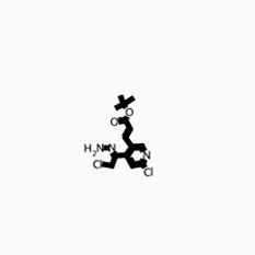 CC(C)(C)OC(=O)C=Cc1cnc(Cl)cc1C(CCl)=NN